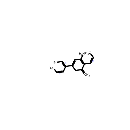 C=C1CC(C(/C=C\C)=C/CC)=CC(N)=C1/C=C\C